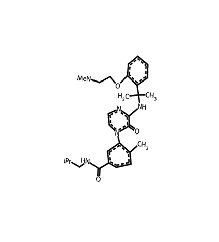 CNCCOc1ccccc1C(C)(C)Nc1nccn(-c2cc(C(=O)NCC(C)C)ccc2C)c1=O